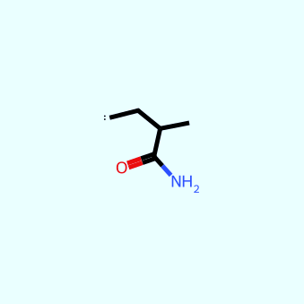 [CH]CC(C)C(N)=O